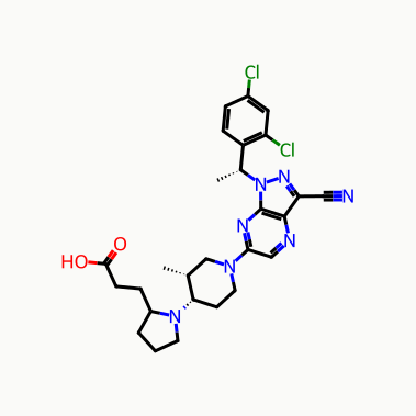 C[C@@H]1CN(c2cnc3c(C#N)nn([C@H](C)c4ccc(Cl)cc4Cl)c3n2)CC[C@@H]1N1CCCC1CCC(=O)O